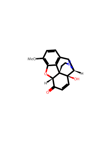 COc1ccc2c3c1O[C@H]1C(=O)C=C[C@@]4(O)[C@@H](C2)NCC[C@]314